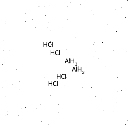 Cl.Cl.Cl.Cl.[AlH3].[AlH3]